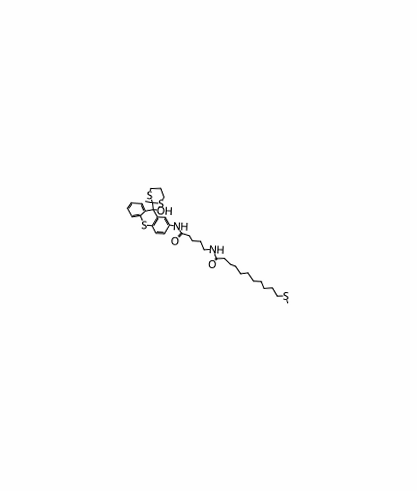 CSCCCCCCCCCCC(=O)NCCCCC(=O)Nc1ccc2c(c1)C(O)(C1(C)SCCCS1)c1ccccc1S2